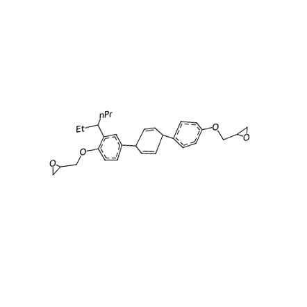 CCCC(CC)c1cc(C2C=CC(c3ccc(OCC4CO4)cc3)C=C2)ccc1OCC1CO1